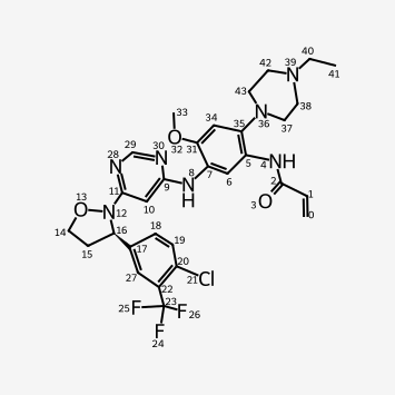 C=CC(=O)Nc1cc(Nc2cc(N3OCC[C@@H]3c3ccc(Cl)c(C(F)(F)F)c3)ncn2)c(OC)cc1N1CCN(CC)CC1